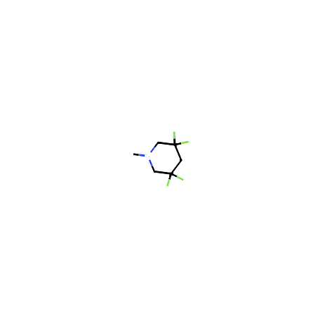 CC(C)N1CC(F)(F)CC(F)(F)C1